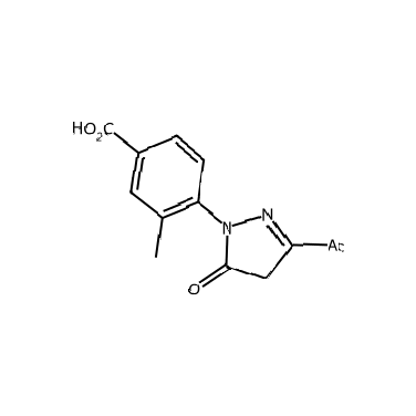 CC(=O)C1=NN(c2ccc(C(=O)O)cc2C)C(=O)C1